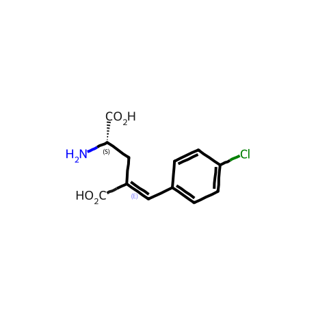 N[C@@H](C/C(=C\c1ccc(Cl)cc1)C(=O)O)C(=O)O